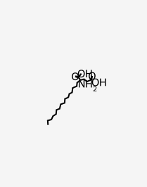 CCCCCCCCCCCCCCCC[C@](N)(CCC(=O)O)C(=O)O